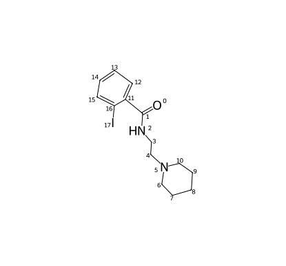 O=C(NCCN1CCCCC1)c1ccccc1I